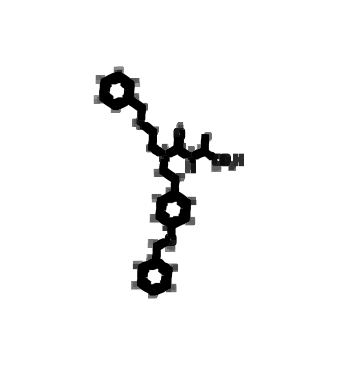 C[C@H](NC(=O)N(CCSCc1ccccc1)CCc1ccc(OCc2ccccc2)cc1)C(=O)O